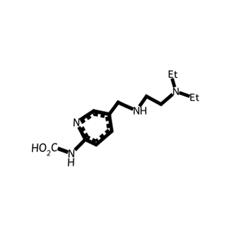 CCN(CC)CCNCc1ccc(NC(=O)O)nc1